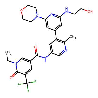 CCn1cc(C(=O)Nc2cnc(C)c(-c3cc(NCCO)nc(N4CCOCC4)c3)c2)cc(C(F)(F)F)c1=O